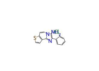 Nc1c(-c2ccccc2Cl)nc2c3ccsc3ccn12